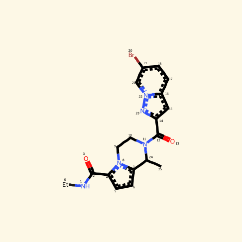 CCNC(=O)c1ccc2n1CCN(C(=O)c1cc3ccc(Br)cn3n1)C2C